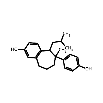 CC(C)CC1c2ccc(O)cc2CCCC1(C)c1ccc(O)cc1